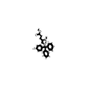 COC(=O)CCC1=CN(C(c2ccccc2)(c2ccccc2)c2ccccc2)[C+]N1C.[I-]